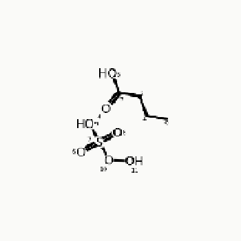 CCCC(=O)O.O=S(=O)(O)OO